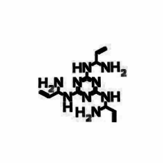 C=CC(N)Nc1nc(NC(N)C=C)nc(NC(N)C=C)n1